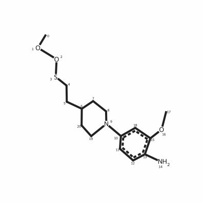 COOSCCC1CCN(c2ccc(N)c(OC)c2)CC1